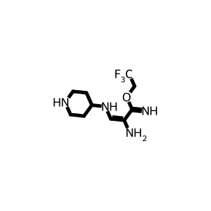 N=C(OCC(F)(F)F)/C(N)=C\NC1CCNCC1